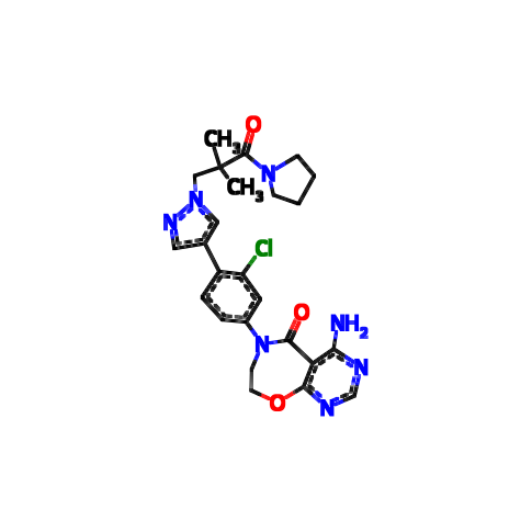 CC(C)(Cn1cc(-c2ccc(N3CCOc4ncnc(N)c4C3=O)cc2Cl)cn1)C(=O)N1CCCC1